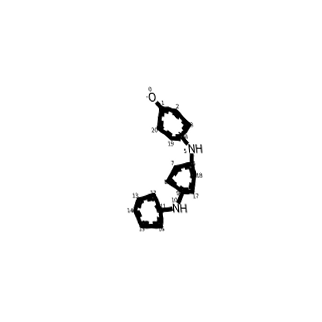 [O]c1ccc(Nc2ccc(Nc3ccccc3)cc2)cc1